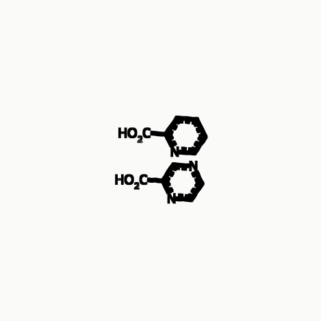 O=C(O)c1ccccn1.O=C(O)c1cnccn1